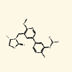 COc1ncc(-c2ccc(F)c(OC(F)F)c2)cc1CN1C(=O)OC[C@@H]1C